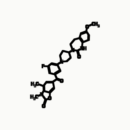 COc1ccc2c(c1)CCN(C1CCN(c3cc(F)cc(C(=O)c4cc(C)c5c(c4)oc(=O)n5C)c3)CC1)C(=O)N2